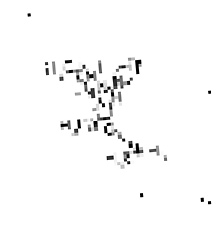 COc1cc2c(Nc3cc(C)[nH]n3)nc(N3CCC(F)(F)CC3)nc2cc1OCCCN(C)C